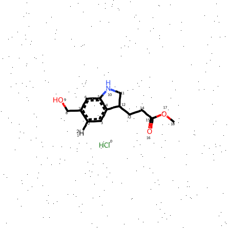 Cl.[2H]c1cc2c(cc1CO)NCC2CCC(=O)OC